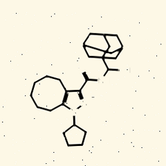 CC(NC(=O)c1nn(C2CCCC2)c2c1CCCCCC2)C12CC3CC(CC(C3)C1)C2